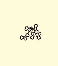 c1ccc2c(c1)Oc1cc3c4ccccc4n(-c4nc(-c5ccc6oc7ccccc7c6c5)c5ccccc5n4)c3c3c1N2c1ccccc1O3